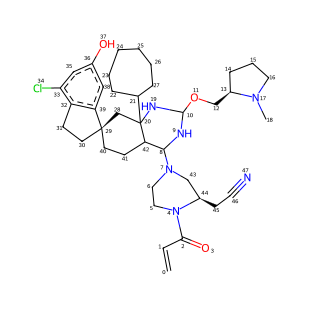 C=CC(=O)N1CCN(C2NC(OC[C@H]3CCCN3C)NC3(C4CCCCCC4)C[C@]4(CCc5c(Cl)cc(O)cc54)CCC23)C[C@H]1CC#N